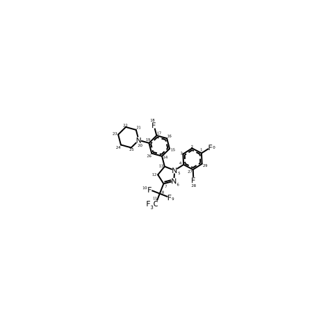 Fc1ccc(N2N=C(C(F)(F)C(F)(F)F)CC2c2ccc(F)c(N3CCCCC3)c2)c(F)c1